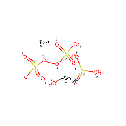 O=S(=O)(O)O.O=S(=O)([O-])OOS(=O)(=O)[O-].O=S(O)O.[Fe+2]